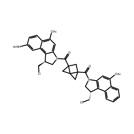 CC(=O)Nc1ccc2c(OC(C)=O)cc3c(c2c1)[C@H](CCl)CN3C(=O)C12CC3(C(=O)N4C[C@@H](CCl)c5c4cc(OC(C)=O)c4ccccc54)CC31C2